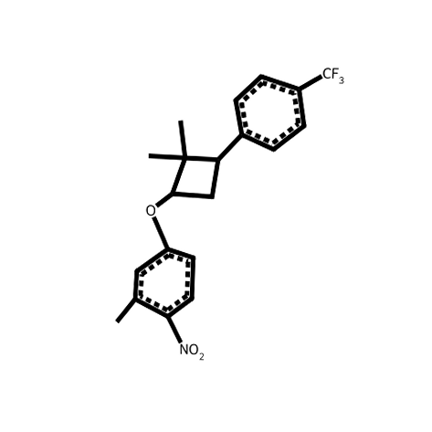 Cc1cc(OC2CC(c3ccc(C(F)(F)F)cc3)C2(C)C)ccc1[N+](=O)[O-]